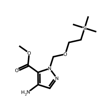 COC(=O)c1c(N)cnn1COCC[Si](C)(C)C